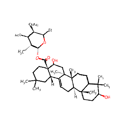 CCC1O[C@H](OC(=O)[C@]23CCC(C)(C)C[C@H]2C2=CC[C@@H]4[C@@]5(C)CC[C@H](O)C(C)(C)C5CC[C@@]4(C)[C@]2(C)CC3O)[C@H](C)C(OC(C)=O)[C@H]1OC(C)=O